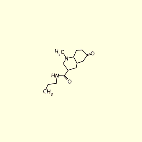 CCCNC(=O)C1CC2CC(=O)CCC2N(C)C1